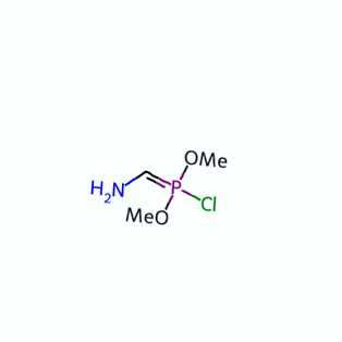 COP(Cl)(=CN)OC